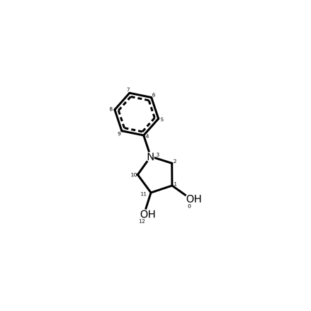 OC1CN(c2ccccc2)CC1O